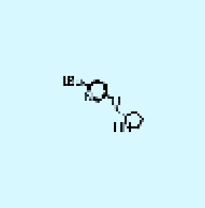 CC(C)(C)c1ccc(OC[C@@H]2CCCN2)cn1